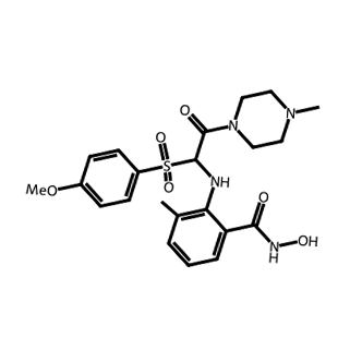 COc1ccc(S(=O)(=O)C(Nc2c(C)cccc2C(=O)NO)C(=O)N2CCN(C)CC2)cc1